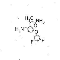 CC(Cc1cc(Oc2cc(F)cc(F)c2)ccc1CN)C(N)=O